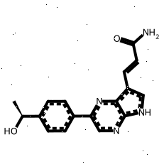 C[C@H](O)c1ccc(-c2cnc3[nH]cc(C=CC(N)=O)c3n2)cc1